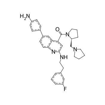 Nc1ccc(-c2ccc3nc(NCCc4cccc(F)c4)cc(C(=O)N4CCC[C@H]4CN4CCCC4)c3c2)cc1